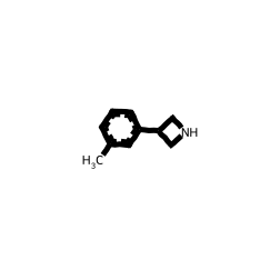 Cc1cccc(C2CNC2)c1